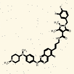 Cc1c(C(=O)NC/C=C/c2ccc3nc(Nc4ccc(N(C)C5CCN(C)CC5)cc4)ncc3c2F)c(=O)n(Cc2ccc(F)c(F)c2)n1C